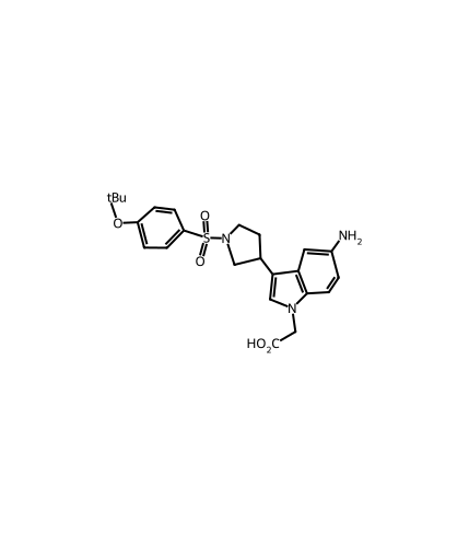 CC(C)(C)Oc1ccc(S(=O)(=O)N2CCC(c3cn(CC(=O)O)c4ccc(N)cc34)C2)cc1